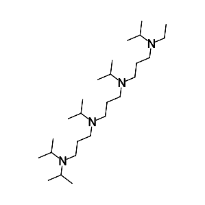 CCN(CCCN(CCCN(CCCN(C(C)C)C(C)C)C(C)C)C(C)C)C(C)C